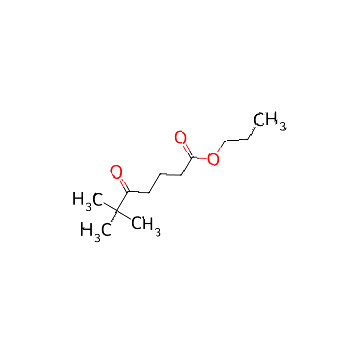 CCCOC(=O)CCCC(=O)C(C)(C)C